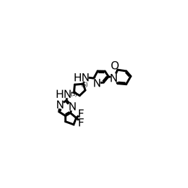 O=c1ccccn1-c1ccc(N[C@H]2CC[C@H](Nc3ncc4c(n3)C(F)(F)CC4)C2)nc1